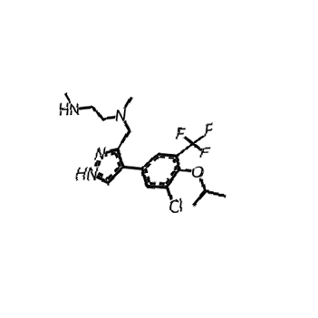 CNCCN(C)Cc1n[nH]cc1-c1cc(Cl)c(OC(C)C)c(C(F)(F)F)c1